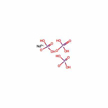 O=P([O-])(O)O.O=P([O-])(O)O.O=P([O-])(O)O.[Nd+3]